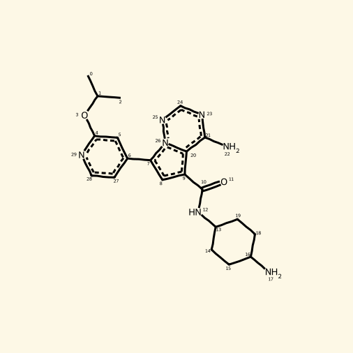 CC(C)Oc1cc(-c2cc(C(=O)NC3CCC(N)CC3)c3c(N)ncnn23)ccn1